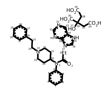 CCC(=O)N(c1ccccc1)C1CCN(CCc2ccccc2)CC1.O=C(O)CC(O)(CC(=O)O)C(=O)O.c1ncc2[nH]cnc2n1